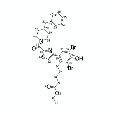 CCOC(=O)CCCCc1c(-c2csc(C(=O)N3CCC(Cc4ccccc4)CC3)n2)cc(Br)c(O)c1Br